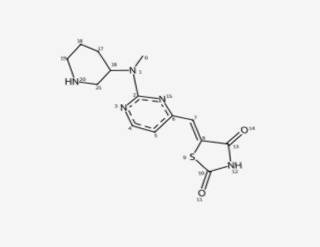 CN(c1nccc(/C=C2\SC(=O)NC2=O)n1)C1CCCNC1